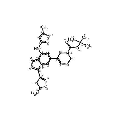 Cc1cc(Nc2nc(C3=CCCN(C(=O)OC(C)(C)C)C3)cn3c(C4=COC(N)C4)cnc23)sn1